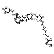 O=C(CCCCCOCCN1CCN(Cc2ccc(-c3cc4c(NCCc5ccccc5)ncnc4[nH]3)cc2)CC1)NO